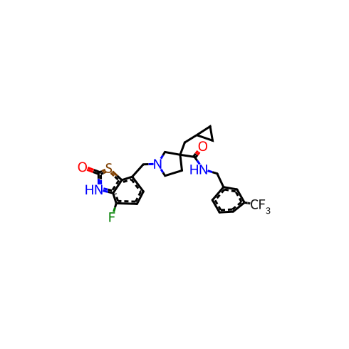 O=C(NCc1cccc(C(F)(F)F)c1)C1(CC2CC2)CCN(Cc2ccc(F)c3[nH]c(=O)sc23)C1